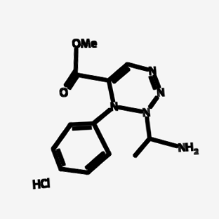 COC(=O)C1=CN=NN(C(C)N)N1c1ccccc1.Cl